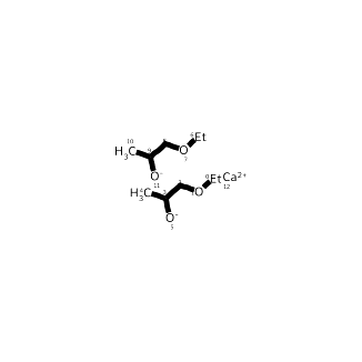 CCOCC(C)[O-].CCOCC(C)[O-].[Ca+2]